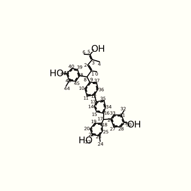 C/C(=C\C(C)=C(/C)O)C(c1ccc(-c2ccc(C(c3ccc(O)c(C)c3)c3ccc(O)c(C)c3)cc2)cc1)c1ccc(O)c(C)c1